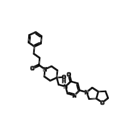 O=C(CCc1ccccc1)N1CCC(O)(Cn2cnc(N3CC4CCOC4C3)cc2=O)CC1